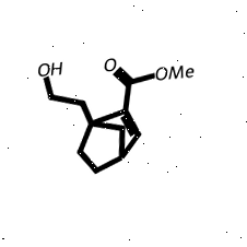 COC(=O)C1=CC2CCC1(CCO)C2